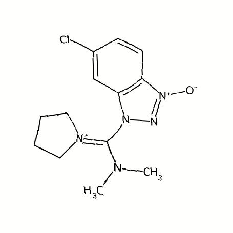 CN(C)C(n1n[n+]([O-])c2ccc(Cl)cc21)=[N+]1CCCC1